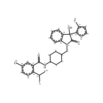 O=C(NC1CCC(CN2C(=O)C(O)(c3sccc3F)c3ccccc32)CC1)c1cc(Cl)cnc1C(F)F